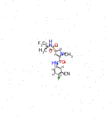 C[C@H](NS(=O)(=O)c1cc(C(=O)Nc2ccc(F)c(C#N)c2)n(C)c1)C(F)(F)F